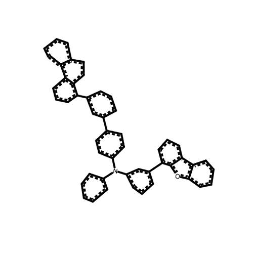 c1ccc(N(c2ccc(-c3cccc(-c4cccc5c4ccc4ccccc45)c3)cc2)c2cccc(-c3cccc4c3oc3ccccc34)c2)cc1